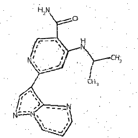 CC(C)Nc1cc(-c2cnn3cccnc23)ncc1C(N)=O